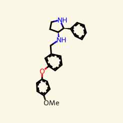 COc1ccc(Oc2cccc(CN[C@H]3CCN[C@H]3c3ccccc3)c2)cc1